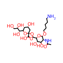 CC(=O)N[C@H]1C(O)[C@H](O)C(CO[C@]2(C(=O)O)C[C@@H](O)CC([C@H](O)[C@H](O)CO)O2)O[C@H]1OCCCCCN